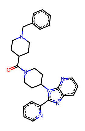 O=C(C1CCN(Cc2ccccc2)CC1)N1CCC(n2c(-c3ccccn3)nc3cccnc32)CC1